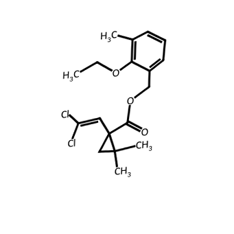 CCOc1c(C)cccc1COC(=O)C1(C=C(Cl)Cl)CC1(C)C